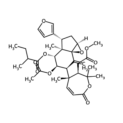 C=C1[C@@H]([C@@]2(C)C=CC(=O)OC(C)(C)[C@@H]2CC(=O)OC)[C@@H](OC(C)=O)[C@H](OC(=O)C(C)CC)[C@@]2(C)[C@H](c3ccoc3)C[C@H]3O[C@]132